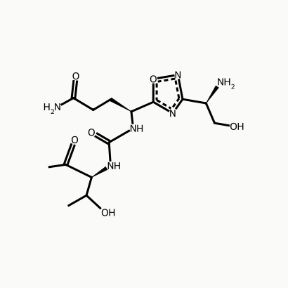 CC(=O)[C@@H](NC(=O)N[C@@H](CCC(N)=O)c1nc([C@@H](N)CO)no1)C(C)O